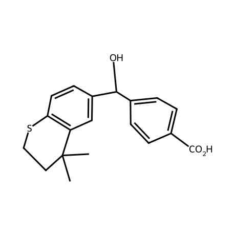 CC1(C)CCSc2ccc(C(O)c3ccc(C(=O)O)cc3)cc21